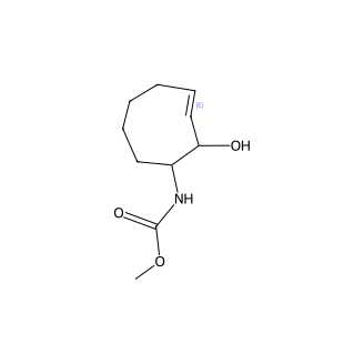 COC(=O)NC1CCCC/C=C/C1O